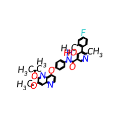 COc1cc2nccc(Oc3ccc(NC(=O)c4cnc(C)c(-c5ccc(F)cc5C)c4O)cc3)c2nc1OC(C)C